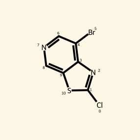 Clc1nc2c(Br)cncc2s1